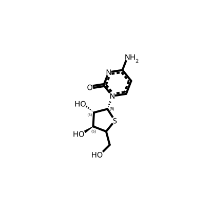 Nc1ccn([C@@H]2SC(CO)[C@@H](O)[C@@H]2O)c(=O)n1